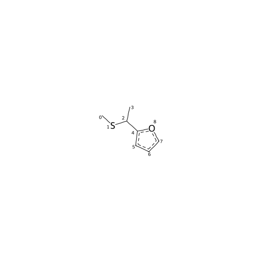 CSC(C)c1ccco1